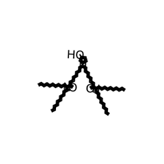 CCCCCCCCCCN(CCCCCCCCCC)C(=O)CCCCCCCN(CCCCCCCC(=O)N(CCCCCCCCCC)CCCCCCCCCC)[C@H]1CC[C@H](O)C1